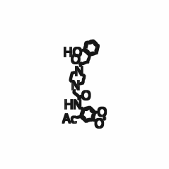 CC(=O)c1cc2c(cc1NC(=O)CN1CCN(C(=O)Cc3ccccc3O)CC1)OCO2